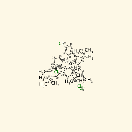 CCCCC1C=C(C(C)(C)C)C=[C]1[Zr+2](=[C](c1cccc(Cl)c1)c1cccc(Cl)c1)[c]1c(C)c(C(C)(C)C)cc2c1Cc1cc(C)c(C(C)(C)C)cc1-2.[Cl-].[Cl-]